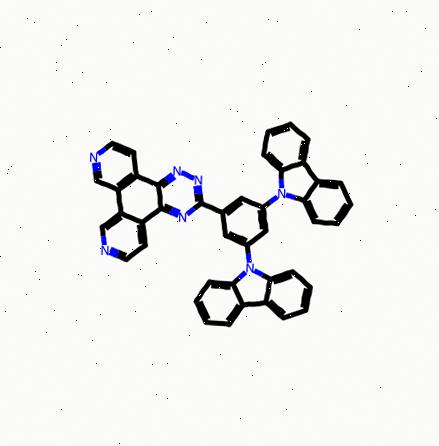 c1ccc2c(c1)c1ccccc1n2-c1cc(-c2nnc3c4ccncc4c4cnccc4c3n2)cc(-n2c3ccccc3c3ccccc32)c1